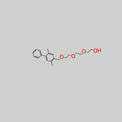 Cc1cc(-c2ccccc2)c(C)cc1COCCOCCOCCO